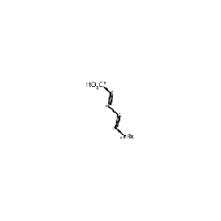 CCCCC=CC=CC(=O)O